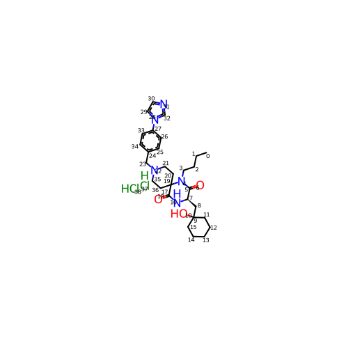 CCCCN1C(=O)[C@@H](CC2(O)CCCCC2)NC(=O)C12CCN(Cc1ccc(-n3ccnc3)cc1)CC2.Cl.Cl